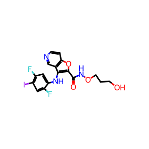 O=C(NOCCCO)c1oc2ccncc2c1Nc1cc(F)c(I)cc1F